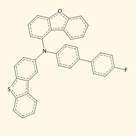 Fc1ccc(-c2ccc(N(c3ccc4sc5ccccc5c4c3)c3cccc4oc5ccccc5c34)cc2)cc1